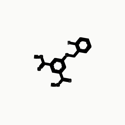 COC(=O)c1cc(OCc2ccccc2F)cc(C(=O)OC)c1